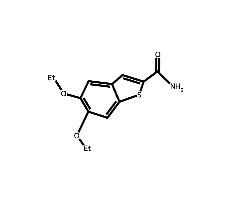 CCOc1cc2cc(C(N)=O)sc2cc1OCC